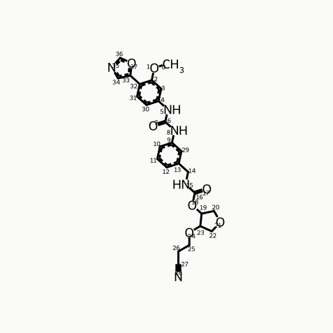 COc1cc(NC(=O)Nc2cccc(CNC(=O)OC3COCC3OCCC#N)c2)ccc1-c1cnco1